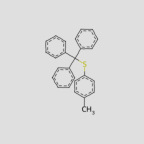 Cc1ccc(SC(c2ccccc2)(c2ccccc2)c2ccccc2)cc1